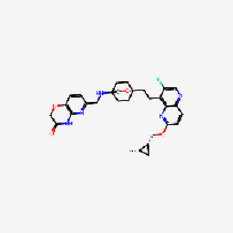 C[C@H]1C[C@H]1COc1ccc2ncc(F)c(CCC34CCC(NCc5ccc6c(n5)NC(=O)CO6)(CC3)CO4)c2n1